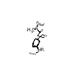 CON(C)C(=O)CC1(c2cccc(NC=O)c2)COC1